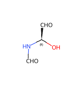 O=CN[C@H](O)C=O